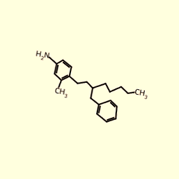 CCCCCC(CCc1ccc(N)cc1C)Cc1ccccc1